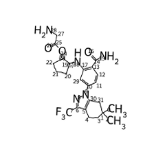 CC1(C)CCc2c(C(F)(F)F)nn(-c3ccc(C(N)=O)c(N[C@H]4CCC[C@@H]4OC(=O)CN)c3)c2C1